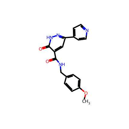 COc1ccc(CNC(=O)c2cc(-c3ccncc3)n[nH]c2=O)cc1